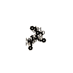 CC(C)[C@H](C[C@H](O)[C@H](COCc1ccccc1)NC(=O)c1cc(OS(C)(=O)=O)cc(C(=O)N[C@H](C)c2ccccc2)c1)C(=O)N[C@H](C(=O)NCc1ccccc1)C(C)C